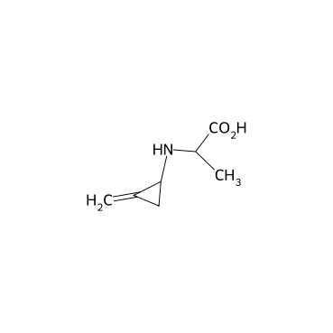 C=C1CC1NC(C)C(=O)O